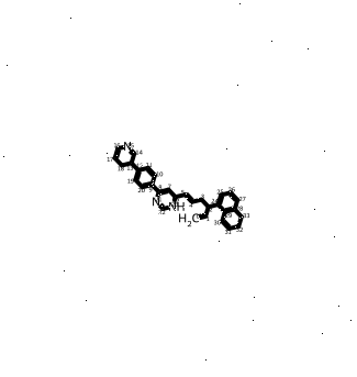 C=CC(C/C=C/C1C=C(c2ccc(C3C=NC=CC3)cc2)N=CN1)c1cccc2c1C=CCC2